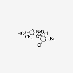 CC(C)(C)c1cc(Cl)cc(S(=O)(=O)Nc2ccc(C(C)(O)C(F)(F)F)cc2)c1Cl